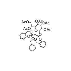 CC(=O)OCC(OC(C)=O)[C@H]1OC(OP(=O)(CP(=O)(OCc2ccccc2)OCc2ccccc2)OCc2ccccc2)[C@@H](OC(C)=O)[C@@H](OC(C)=O)[C@@H]1OC(C)=O